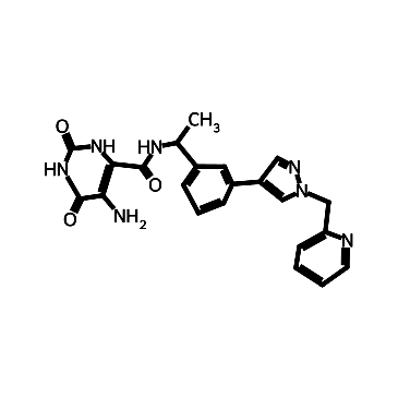 CC(NC(=O)c1[nH]c(=O)[nH]c(=O)c1N)c1cccc(-c2cnn(Cc3ccccn3)c2)c1